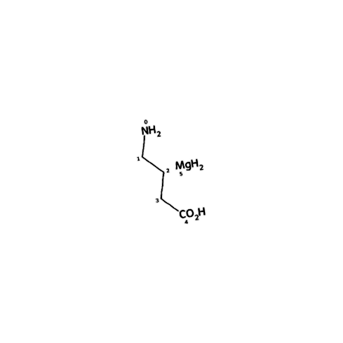 NCCCC(=O)O.[MgH2]